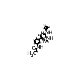 C=CC(=O)Nc1cccc(C2=CN=C(NC34CC(C3)C4)C3NC=NN23)c1